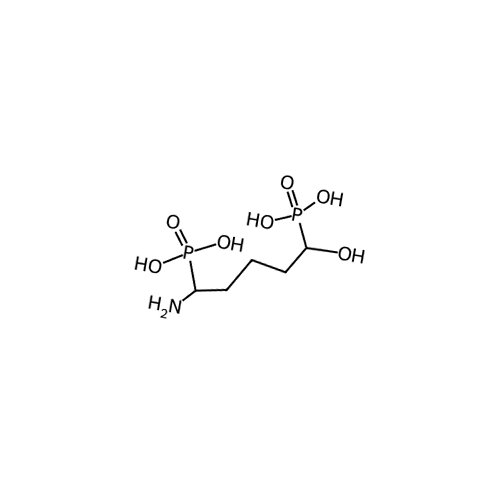 NC(CCCC(O)P(=O)(O)O)P(=O)(O)O